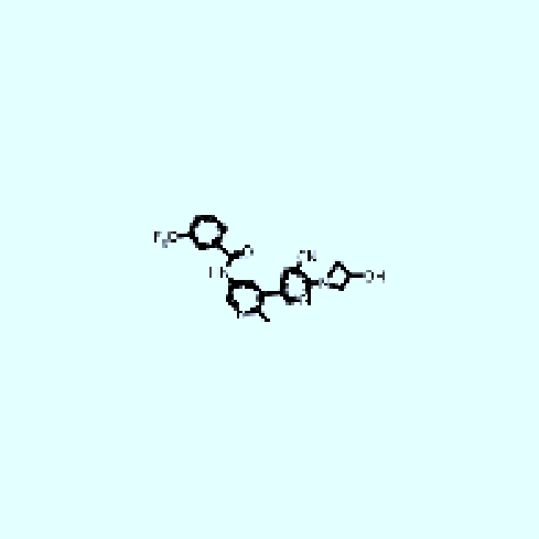 Cc1ncc(NC(=O)c2cccc(C(F)(F)F)c2)cc1-c1cnc(N2CC(O)C2)c(C#N)c1